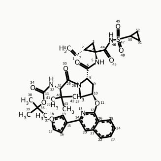 C=C[C@@H]1C[C@]1(NC(=O)[C@@H]1C[C@@H](Oc2nc(-c3ccoc3)cc3ccccc23)CN1C(=O)[C@@H](NC(=O)OC(C)(C)C)C(C)(C)C)C(=O)NS(=O)(=O)C1CC1